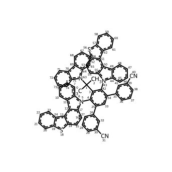 CC(C)(c1c(-n2c3ccccc3c3c4c(ccc32)sc2ccccc24)c(-c2cccc(C#N)c2)cc(-c2cccc(C#N)c2)c1-n1c2ccccc2c2c3c(ccc21)sc1ccccc13)n1c2ccccc2c2ccccc21